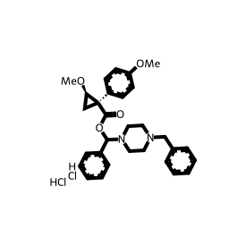 COc1ccc([C@]2(C(=O)OC(c3ccccc3)N3CCN(Cc4ccccc4)CC3)C[C@H]2OC)cc1.Cl.Cl